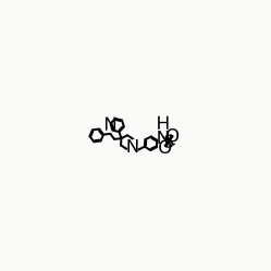 CS(=O)(=O)Nc1ccc(CN2CCC(CCc3ccccc3)(c3cccnc3)CC2)cc1